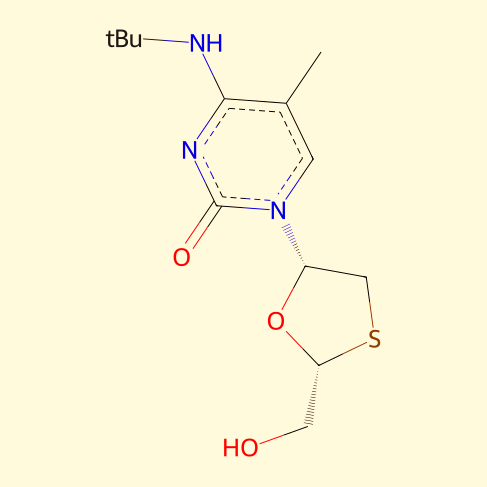 Cc1cn([C@@H]2CS[C@H](CO)O2)c(=O)nc1NC(C)(C)C